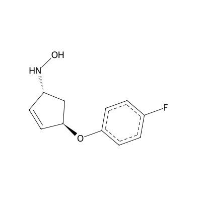 ON[C@H]1C=C[C@H](Oc2ccc(F)cc2)C1